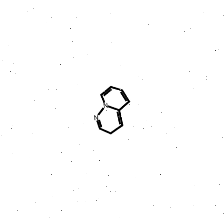 C1=CC2=CCC=NN2C=C1